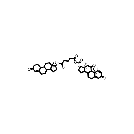 CC[C@]12CCC3C4CCC(=O)C=C4CCC3C1CCC2OC(=O)CCCC(=O)OC(=O)[C@H]1CCC2C3CCC4=CC(=O)C=C[C@]4(C)C3C(=O)C[C@@]21C